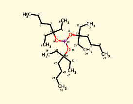 CCCCC(CC)(CC)OP(OC(CC)(CC)CCCC)OC(CC)(CC)CCCC